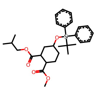 COC(=O)C1CCC(O[Si](c2ccccc2)(c2ccccc2)C(C)(C)C)CC1C(=O)OCC(C)C